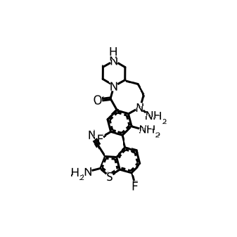 N#Cc1c(N)sc2c(F)ccc(-c3c(F)cc4c(c3N)N(N)CCC3CNCCN3C4=O)c12